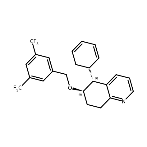 FC(F)(F)c1cc(CO[C@@H]2CCc3ncccc3[C@H]2C2C=CC=CC2)cc(C(F)(F)F)c1